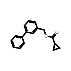 O=C(OCc1cccc(-c2ccccc2)c1)C1CC1